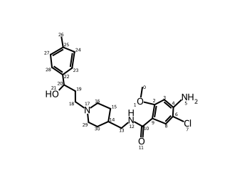 COc1cc(N)c(Cl)cc1C(=O)NCC1CCN(CCC(O)c2ccc(C)cc2)CC1